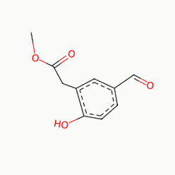 COC(=O)Cc1cc(C=O)ccc1O